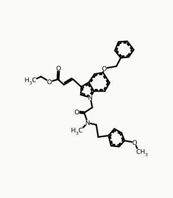 CCOC(=O)C=Cc1cn(CC(=O)N(C)CCc2ccc(OC)cc2)c2ccc(OCc3ccccc3)cc12